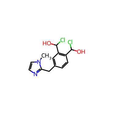 Cn1ccnc1Cc1ccc(C(O)Cl)c(C(O)Cl)c1